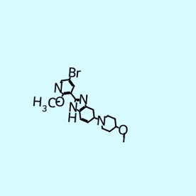 COc1ncc(Br)cc1-c1nc2c([nH]1)C=CC(N1CCC(OI)CC1)C2